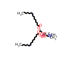 CCCCC/C=C\CCCCCCCC(=O)OC[C@H](COP(=O)([O-])OCC[N+](C)(C)C)OC(=O)CCCCCCC/C=C\CCCCC